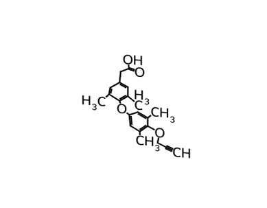 C#CCOc1c(C)cc(Oc2c(C)cc(CC(=O)O)cc2C)cc1C